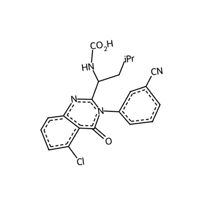 CC(C)CC(NC(=O)O)c1nc2cccc(Cl)c2c(=O)n1-c1cccc(C#N)c1